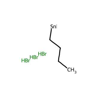 Br.Br.Br.CCC[CH2][Sn]